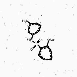 COc1ccccc1S(=O)(=O)Nc1cccc(N)c1